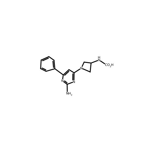 Nc1nc(-c2ccccc2)cc(N2CC(NC(=O)O)C2)n1